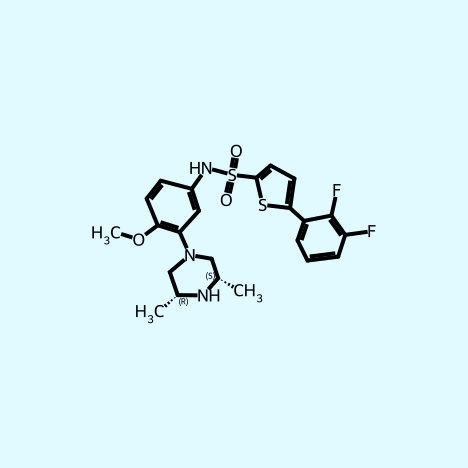 COc1ccc(NS(=O)(=O)c2ccc(-c3cccc(F)c3F)s2)cc1N1C[C@@H](C)N[C@@H](C)C1